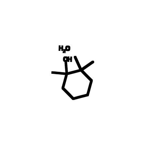 CC1(C)CCCCC1(C)O.O